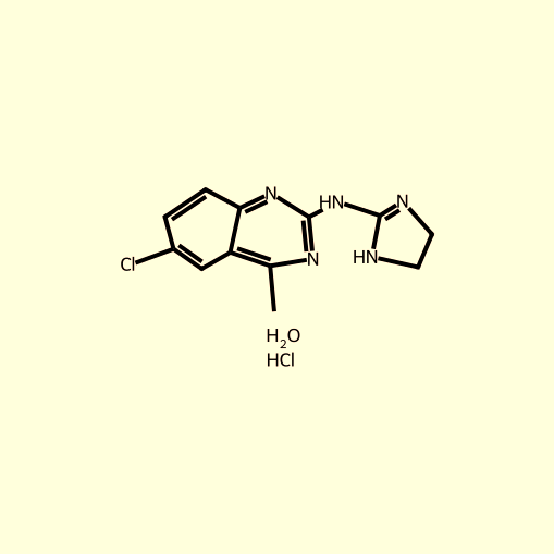 Cc1nc(NC2=NCCN2)nc2ccc(Cl)cc12.Cl.O